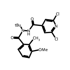 COc1cccc(C(=O)N(NC(=O)c2cc(Cl)nc(Cl)c2)C(C)(C)C)c1C